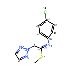 CS/C(Cn1nccn1)=N/c1ccc(Cl)cc1